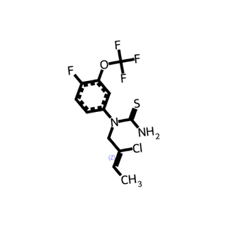 C/C=C(\Cl)CN(C(N)=S)c1ccc(F)c(OC(F)(F)F)c1